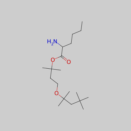 CCCCC(N)C(=O)OC(C)(C)CCOC(C)(C)CC(C)(C)C